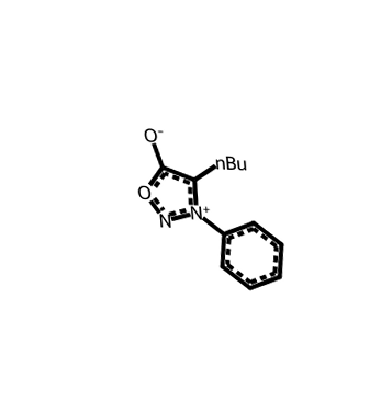 CCCCc1c([O-])on[n+]1-c1ccccc1